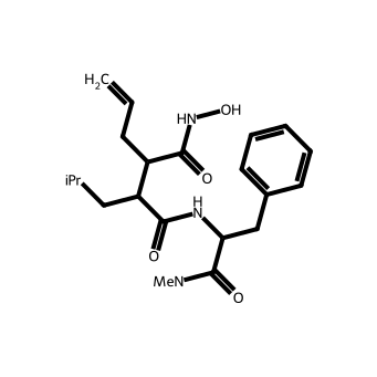 C=CCC(C(=O)NO)C(CC(C)C)C(=O)NC(Cc1ccccc1)C(=O)NC